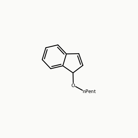 CCCCCOC1C=Cc2ccccc21